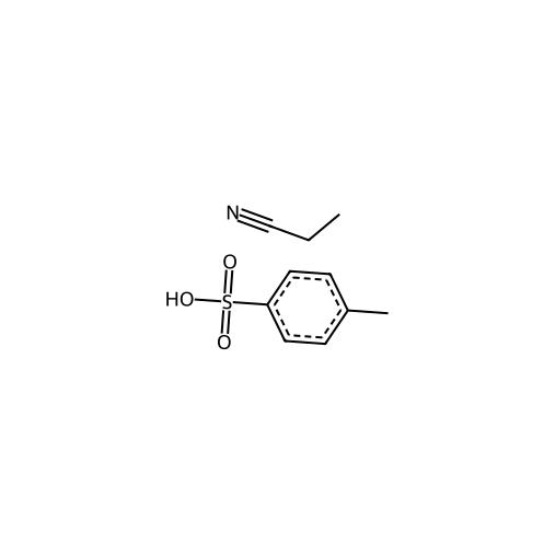 CCC#N.Cc1ccc(S(=O)(=O)O)cc1